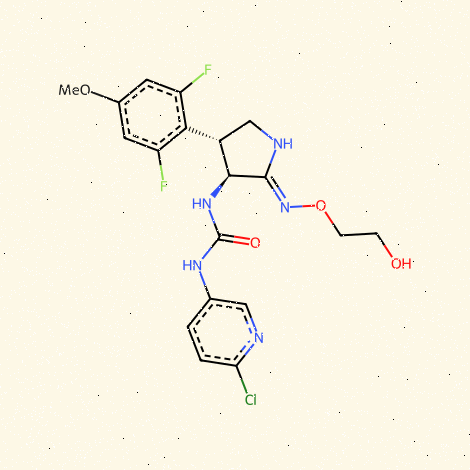 COc1cc(F)c([C@@H]2CN/C(=N\OCCO)[C@H]2NC(=O)Nc2ccc(Cl)nc2)c(F)c1